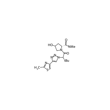 CNC(=O)[C@H]1CC(O)CN1C(=O)C(n1cc(-c2csc(C)n2)nn1)C(C)(C)C